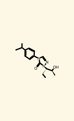 CC[C@@H]([C@H](C)O)n1ncn(-c2ccc(C(C)C)cc2)c1=O